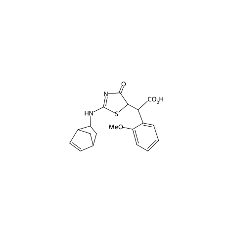 COc1ccccc1C(C(=O)O)C1SC(NC2CC3C=CC2C3)=NC1=O